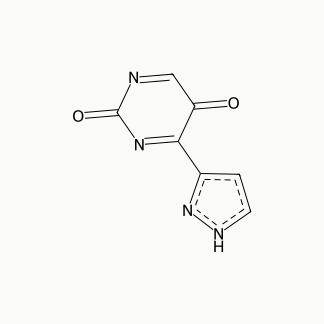 O=C1N=CC(=O)C(c2cc[nH]n2)=N1